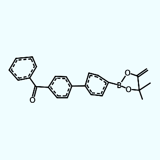 C=C1OB(c2ccc(-c3ccc(C(=O)c4ccccc4)cc3)cc2)OC1(C)C